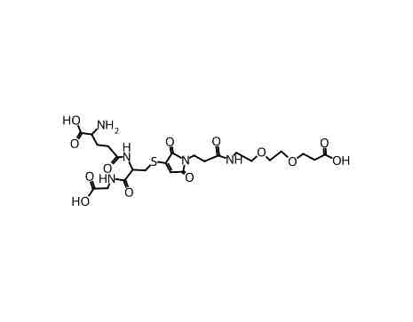 NC(CCC(=O)NC(CSC1=CC(=O)N(CCC(=O)NCCOCCOCCC(=O)O)C1=O)C(=O)NCC(=O)O)C(=O)O